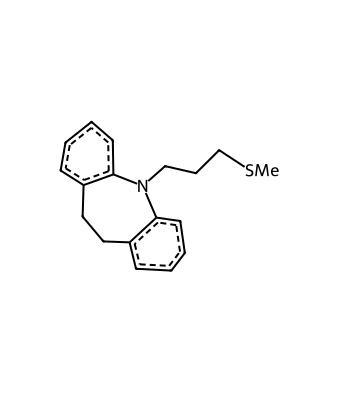 CSCCCN1c2ccccc2CCc2ccccc21